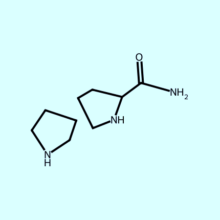 C1CCNC1.NC(=O)C1CCCN1